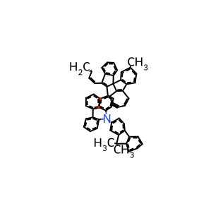 C=C/C=C\C1=C(c2ccc(N(c3ccc4c(c3)C(C)(C)c3ccccc3-4)c3ccccc3-c3ccccc3)cc2)C2(C3=C(C=CC#CC3)c3ccc(C)cc32)c2ccccc21